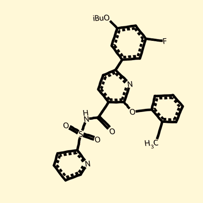 Cc1ccccc1Oc1nc(-c2cc(F)cc(OCC(C)C)c2)ccc1C(=O)NS(=O)(=O)c1ccccn1